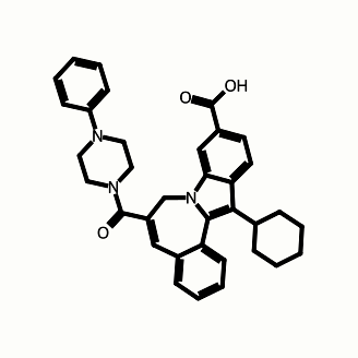 O=C(O)c1ccc2c(C3CCCCC3)c3n(c2c1)CC(C(=O)N1CCN(c2ccccc2)CC1)=Cc1ccccc1-3